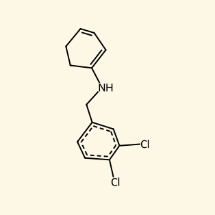 Clc1ccc(CNC2=CC=CCC2)cc1Cl